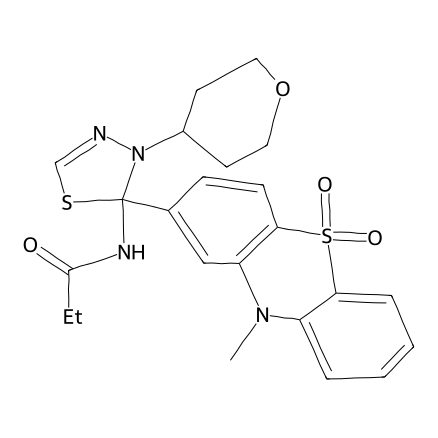 CCC(=O)NC1(c2ccc3c(c2)N(C)c2ccccc2S3(=O)=O)SC=NN1C1CCOCC1